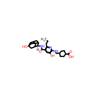 CCCc1nc(NCC2CCC(C(=O)O)CC2)c(S)cc1C(=O)N[C@H]1C2CC3CC1C[C@@](O)(C3)C2